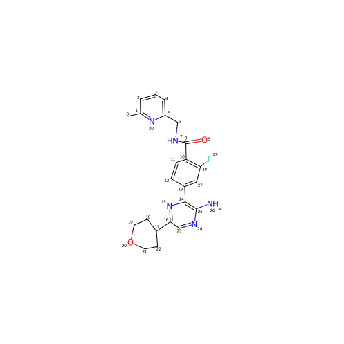 Cc1cccc(CNC(=O)c2ccc(-c3nc(C4CCOCC4)cnc3N)cc2F)n1